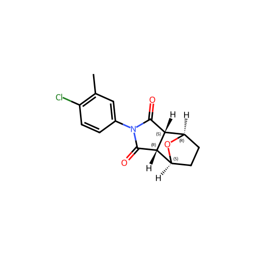 Cc1cc(N2C(=O)[C@@H]3[C@H](C2=O)[C@H]2CC[C@@H]3O2)ccc1Cl